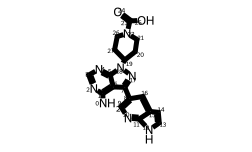 Nc1ncnc2c1c(-c1cnc3[nH]ccc3c1)nn2C1CCN(C(=O)O)CC1